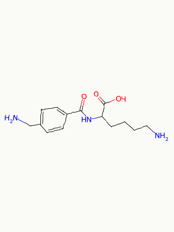 NCCCCC(NC(=O)c1ccc(CN)cc1)C(=O)O